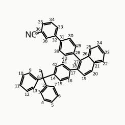 CC(c1ccccc1)(c1ccccc1)c1ccc(-c2ccc3ccccc3c2-c2ccc(-c3cccc(C#N)c3)cc2)cc1